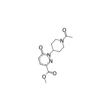 COC(=O)c1ccc(=O)n(C2CCN(C(C)=O)CC2)n1